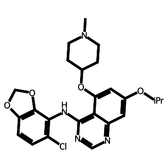 CC(C)Oc1cc(OC2CCN(C)CC2)c2c(Nc3c(Cl)ccc4c3OCO4)ncnc2c1